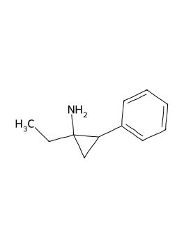 CCC1(N)CC1c1ccccc1